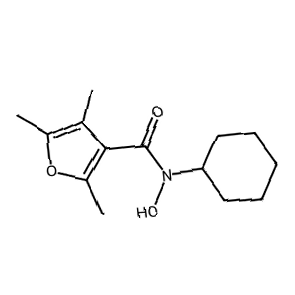 Cc1oc(C)c(C(=O)N(O)C2CCCCC2)c1C